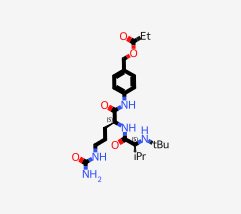 CCC(=O)OCc1ccc(NC(=O)[C@H](CCCNC(N)=O)NC(=O)[C@@H](NC(C)(C)C)C(C)C)cc1